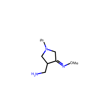 CO/N=C1\CN(C(C)C)CC1CN